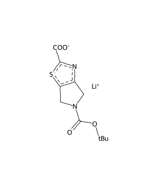 CC(C)(C)OC(=O)N1Cc2nc(C(=O)[O-])sc2C1.[Li+]